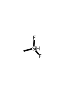 C[SiH](F)F